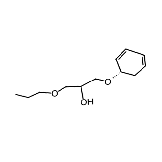 CCCOCC(O)CO[C@@H]1C=CC=CC1